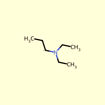 CC[CH]N(CC)CC